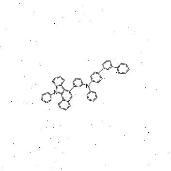 c1ccc(-c2cccc(-c3ccc(N(c4ccccc4)c4cccc(-c5cc6ccccc6c6c5c5ccccc5n6-c5ccccc5)c4)cc3)c2)cc1